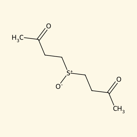 CC(=O)CC[S+]([O-])CCC(C)=O